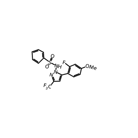 COc1ccc(-c2cc(C(F)(F)F)nn2NS(=O)(=O)c2ccccc2)c(F)c1